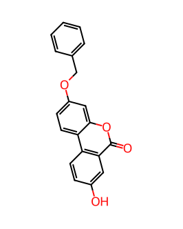 O=c1oc2cc(OCc3ccccc3)ccc2c2ccc(O)cc12